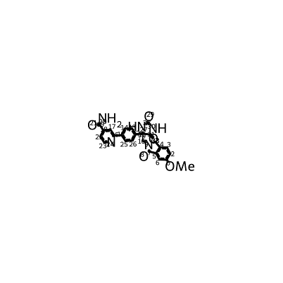 COc1ccc2c(c1)C(=O)N(C[C@@]1(c3ccc(-c4cc(C(N)=O)ccn4)cc3)NC(=O)NC1=O)C2